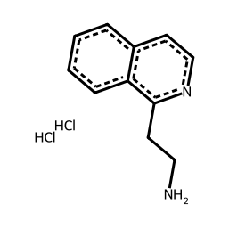 Cl.Cl.NCCc1nccc2ccccc12